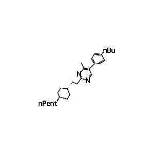 CCCCC[C@H]1CC[C@H](CCc2ncc(-c3ccc(CCCC)cc3)c(C)n2)CC1